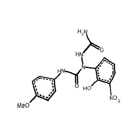 COc1ccc(NC(=O)N(NC(N)=O)c2cccc([N+](=O)[O-])c2O)cc1